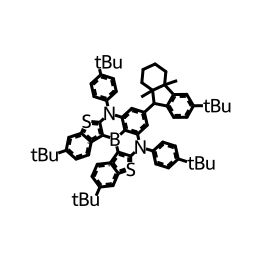 CC(C)(C)c1ccc(N2c3cc(C4c5ccc(C(C)(C)C)cc5C5(C)CCCCC45C)cc4c3B(c3c2sc2cc(C(C)(C)C)ccc32)c2c(sc3cc(C(C)(C)C)ccc23)N4c2ccc(C(C)(C)C)cc2)cc1